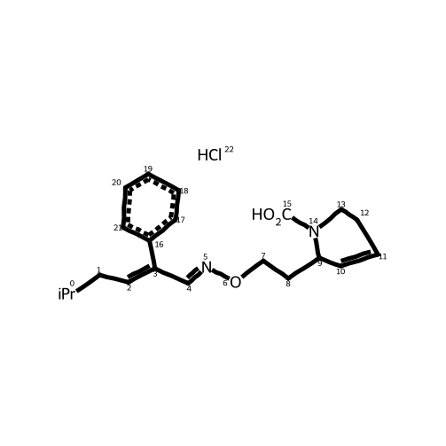 CC(C)CC=C(C=NOCCC1C=CCCN1C(=O)O)c1ccccc1.Cl